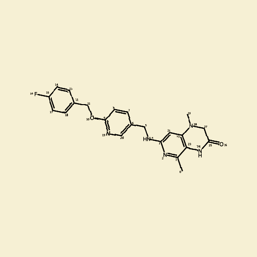 Cc1nc(NCc2ccc(OCc3ccc(F)cc3)nc2)cc2c1NC(=O)CN2C